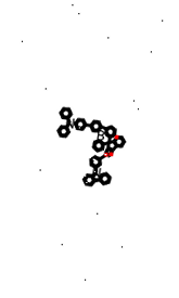 c1ccc(N(c2ccccc2)c2ccc(-c3ccc4c(c3)B3c5ccccc5C5(c6ccccc6-c6ccc(-c7cccc(-n8c9ccccc9c9ccccc98)c7)cc65)c5cccc-4c53)cc2)cc1